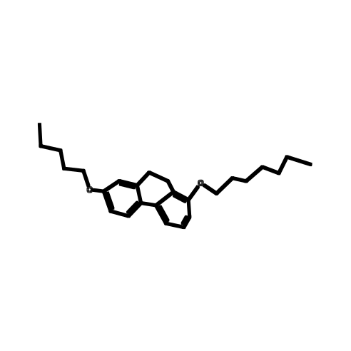 CCCCCCCOc1cccc2c1CCc1cc(OCCCCC)ccc1-2